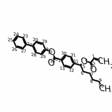 C=CC(=O)OC(CCCCC)c1ccc(C(=O)Oc2ccc(-c3ccccc3)cc2)cc1